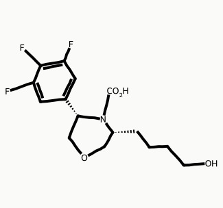 O=C(O)N1[C@H](CCCCO)COC[C@@H]1c1cc(F)c(F)c(F)c1